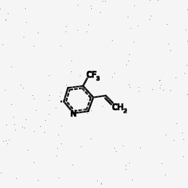 C=Cc1cn[c]cc1C(F)(F)F